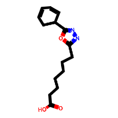 O=C(O)CCCCCCc1nnc(C2C=CC=CC2)o1